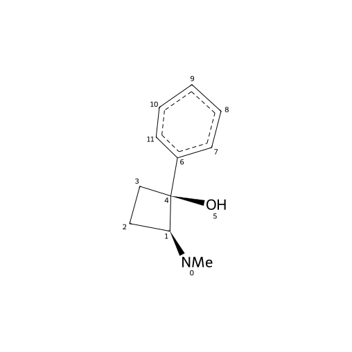 CN[C@H]1CC[C@]1(O)c1ccccc1